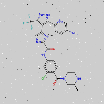 C[C@H]1CN(C(=O)c2ccc(NC(=O)c3ncc(-c4c(C(F)(F)F)n[nH]c4-c4ccc(N)cn4)n3C)cc2Cl)CCN1